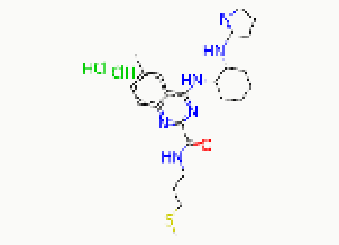 CSCCCNC(=O)c1nc(N[C@H]2CCCC[C@H]2NC2=NCCC2)c2cc(C)ccc2n1.Cl.Cl